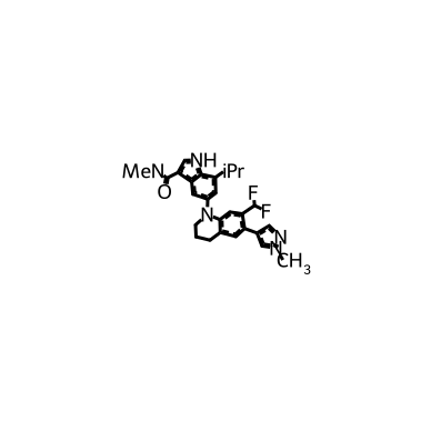 CNC(=O)c1c[nH]c2c(C(C)C)cc(N3CCCc4cc(-c5cnn(C)c5)c(C(F)F)cc43)cc12